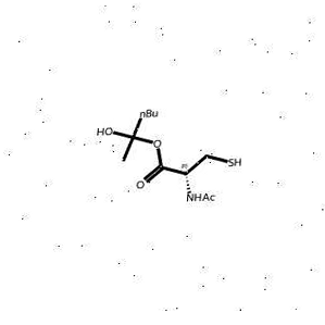 CCCCC(C)(O)OC(=O)[C@H](CS)NC(C)=O